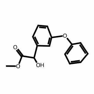 COC(=O)C(O)c1cccc(Oc2ccccc2)c1